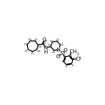 Cc1c(Cl)cccc1S(=O)(=O)N1CCCC(NC(=O)C2CCCCCC2)C1